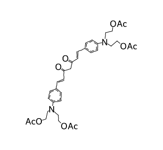 CC(=O)OCCN(CCOC(C)=O)c1ccc(/C=C/C(=O)CC(=O)/C=C/c2ccc(N(CCOC(C)=O)CCOC(C)=O)cc2)cc1